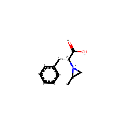 CC1CN1[C@H](Cc1ccccc1)C(=O)O